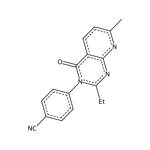 CCc1nc2nc(C)ccc2c(=O)n1-c1ccc(C#N)cc1